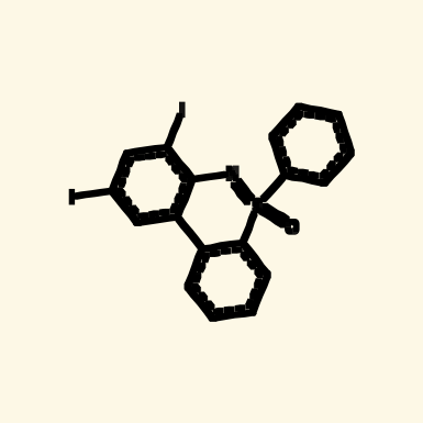 O=S1(c2ccccc2)=Nc2c(I)cc(I)cc2-c2ccccc21